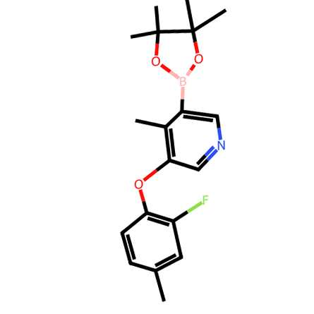 Cc1ccc(Oc2cncc(B3OC(C)(C)C(C)(C)O3)c2C)c(F)c1